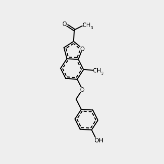 CC(=O)c1cc2ccc(OCc3ccc(O)cc3)c(C)c2o1